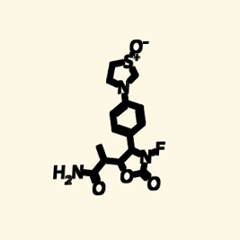 CC(C(N)=O)C1OC(=O)N(F)C1c1ccc(N2CC[S+]([O-])C2)cc1